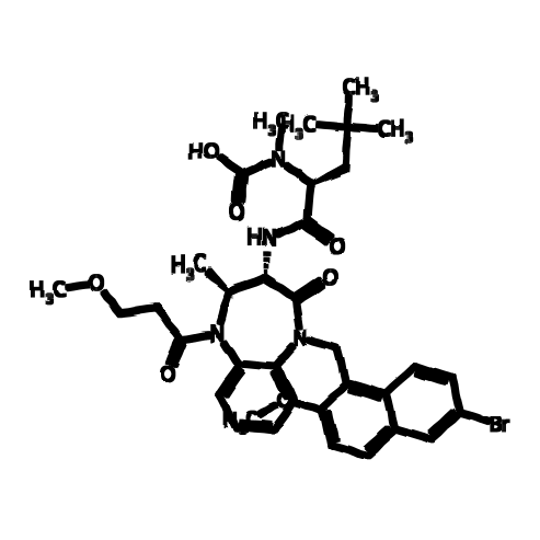 COCCC(=O)N1c2ccccc2N(Cc2c(OC)ccc3cc(Br)ccc23)C(=O)[C@@H](NC(=O)[C@H](CC(C)(C)C)N(C)C(=O)O)[C@@H]1C